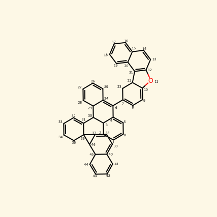 C1=CCC2C(=C1)C(C1=CC=C3Oc4ccc5ccccc5c4C3C1)=C1C=CC=CC1C2C1=CC=CCC12C1=CC=C3C=CC=CC3C12